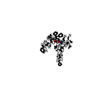 CC(C)N(C(C)C)P(OCCC#N)OC[C@H]1O[C@@H](n2cnc3c(NC(=O)c4ccccc4)ncnc32)[C@H](O[Si](C)(C)C(C)(C)C)[C@@H]1N/S(OCCC#N)=[PH2]\OC[C@H]1O[C@@H](n2cnc3c(NC(=O)c4ccccc4)ncnc32)[C@H](O[Si](C)(C)C(C)(C)C)[C@@H]1NC(c1ccccc1)(c1ccccc1)c1ccccc1